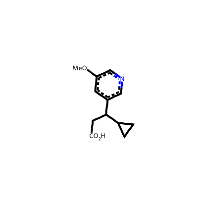 COc1cncc(C(CC(=O)O)C2CC2)c1